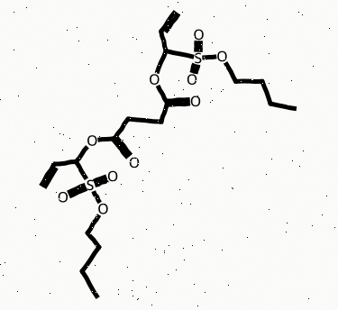 C=CC(OC(=O)CCC(=O)OC(C=C)S(=O)(=O)OCCCC)S(=O)(=O)OCCCC